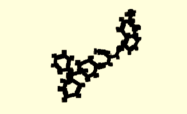 OC(COc1cccc2nc(Br)ccc12)CN1CCN(C(c2ccccc2)c2ccccc2)CC1